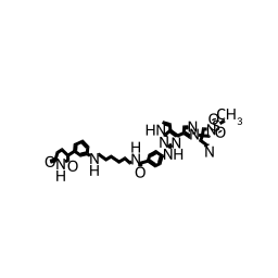 CCS(=O)(=O)N1CC(CC#N)(n2cc(-c3nc(Nc4ccc(C(=O)NCCCCCCNc5cccc(C6CCC(=O)NC6=O)c5)cc4)nc4[nH]ccc34)cn2)C1